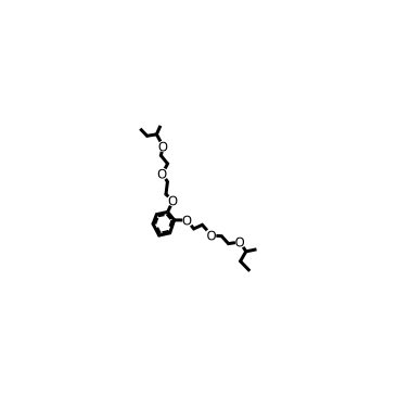 CCC(C)OCCOCCOc1ccccc1OCCOCCOC(C)CC